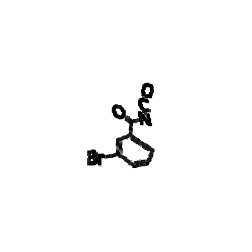 O=C=NC(=O)c1cccc(Br)c1